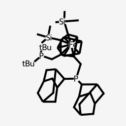 CC(C)(C)P(C[C]12[C]3(CP(C4C5CC6CC(C5)CC4C6)C4C5CC6CC(C5)CC4C6)[CH]4[C]5([Si](C)(C)C)[C]1([Si](C)(C)C)[Fe]43251678[CH]2[CH]1[CH]6[CH]7[CH]28)C(C)(C)C